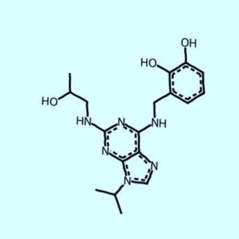 CC(O)CNc1nc(NCc2cccc(O)c2O)c2ncn(C(C)C)c2n1